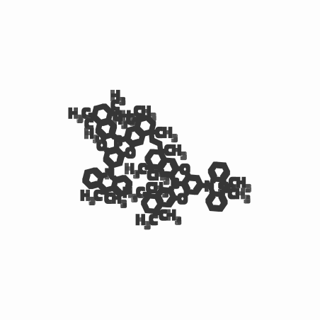 CC1(C)CCC(C)(C)c2cc3c(cc21)Oc1cc(N2c4ccccc4C(C)(C)c4ccccc42)cc2c1B3c1cc3c(cc1O2)C(C)(CCC1(C)CCC(C)(C)c2cc4c(cc21)Oc1cc(N2c5ccccc5[Si](C)(C)c5ccccc52)cc2c1B4c1cc4c(cc1O2)C(C)(C)CCC4(C)C)CCC3(C)C